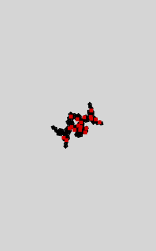 CCCCc1ccc(N(c2ccc(CCCC)cc2)c2ccc(N(c3ccc(CCCC)cc3)c3ccc(C4(c5ccc(N(c6ccc(CCCC)cc6)c6ccc(N(c7ccc(CCCC)cc7)c7ccc(CCCC)cc7)cc6)cc5)c5cc(C)ccc5-c5ccc(C)cc54)cc3)cc2)cc1